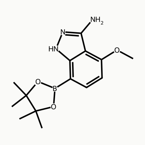 COc1ccc(B2OC(C)(C)C(C)(C)O2)c2[nH]nc(N)c12